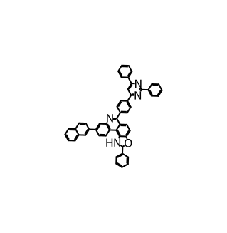 c1ccc(-c2cc(-c3ccc(-c4nc5cc(-c6ccc7ccccc7c6)ccc5c5c6c(ccc45)OC(c4ccccc4)N6)cc3)nc(-c3ccccc3)n2)cc1